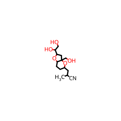 CC(C#N)CC1CCC2OC(C(O)CO)CC2(CO)O1